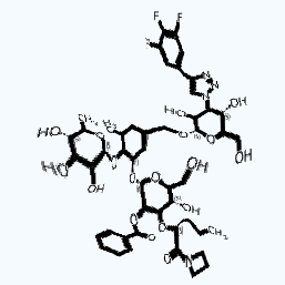 CCC[C@H](OC1C(OC(=O)c2ccccc2)[C@H](O[C@@H]2CC(CO[C@H]3OC(CO)[C@@H](O)C(n4cc(-c5cc(F)c(F)c(F)c5)nn4)C3O)CC(C)C2O[C@@H]2OC(C)[C@@H](O)C(O)C2O)OC(CO)[C@@H]1O)C(=O)N1CCC1